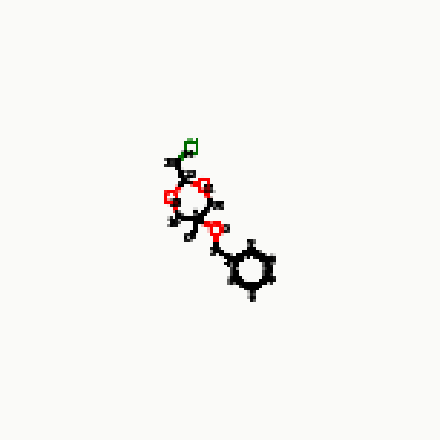 CC1(OCc2ccccc2)COC(CCl)OC1